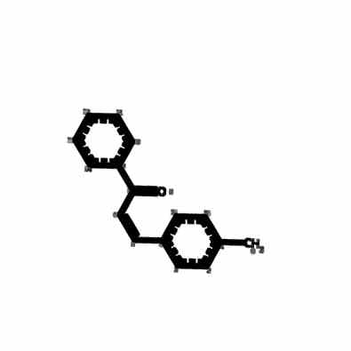 Cc1ccc(/C=C\C(=O)c2ccccc2)cc1